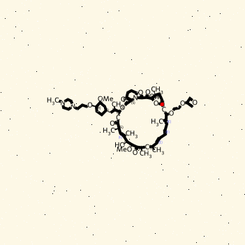 CO[C@@H]1C[C@H](C[C@@H](C)[C@@H]2CC(=O)[C@H](C)/C=C(\C)[C@@H](O)[C@@H](OC)C(=O)[C@H](C)C[C@H](C)/C=C/C=C/C=C(\C)C(OCCOC3COC3)C[C@@H]3CC[C@@H](C)[C@@](O)(O3)C(=O)C(=O)N3CCCC[C@H]3C(=O)O2)CC[C@H]1OCCCN1CCN(C)CC1